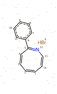 Br.C1=CC=CC(c2ccccc2)=NC=C1